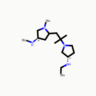 CC(C)(C)CN[C@H]1CCN(C(C)(C)CC2C[C@@H](NC(C)(C)C)CN2C(C)(C)C)C1